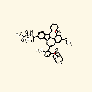 COC1=CC2=C(c3c(C4CCCCC4)c4ccc(C(=O)NS(=O)(=O)C(C)C)cc4n3CC(c3c(C(=O)N4C5COCC4COC5)cnn3C)=C2)C(C)C1